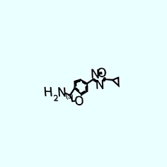 N[C@@H]1COc2cc(-c3noc(C4CC4)n3)ccc21